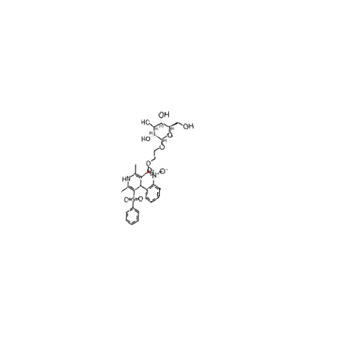 CC1=C(C(=O)OCCO[C@@H]2O[C@H](CO)[C@@H](O)[C@H](O)[C@H]2O)C(c2ccccc2[N+](=O)[O-])C(S(=O)(=O)c2ccccc2)=C(C)N1